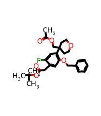 CC(=O)OCC1(c2cc(F)c(CC(=O)OC(C)(C)C)cc2OCc2ccccc2)CCOCC1